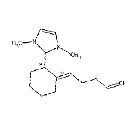 C=CCC/C=C1\CCCC[C@@H]1C1N(C)C=CN1C